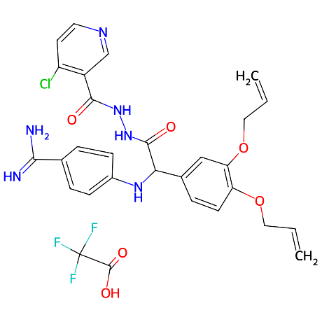 C=CCOc1ccc(C(Nc2ccc(C(=N)N)cc2)C(=O)NNC(=O)c2cnccc2Cl)cc1OCC=C.O=C(O)C(F)(F)F